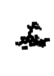 CN(C)Cc1cc(COC(=S)N(C)C)cc(C(C)(C)C)c1O.Cl.NC(O)=S